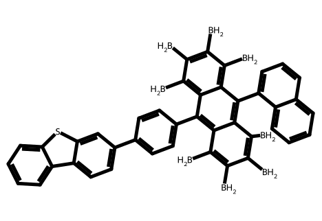 Bc1c(B)c(B)c2c(-c3cccc4ccccc34)c3c(B)c(B)c(B)c(B)c3c(-c3ccc(-c4ccc5c(c4)sc4ccccc45)cc3)c2c1B